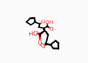 O=C(O)C(CC(=O)C1CCCC1)=C(CC(=O)C1CCCC1)C(=O)O